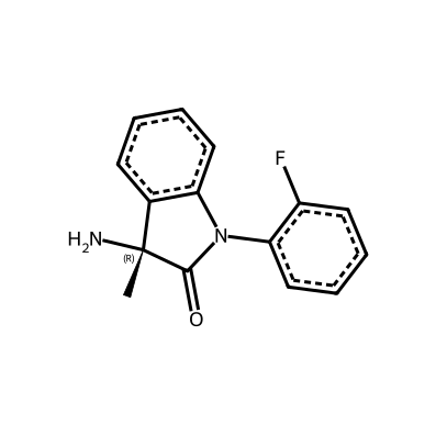 C[C@]1(N)C(=O)N(c2ccccc2F)c2ccccc21